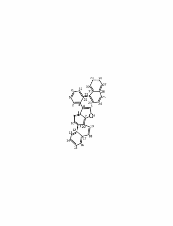 c1ccc(-c2coc3c2ccc2c4ccccc4ccc23)c(-c2cccc3ccccc23)c1